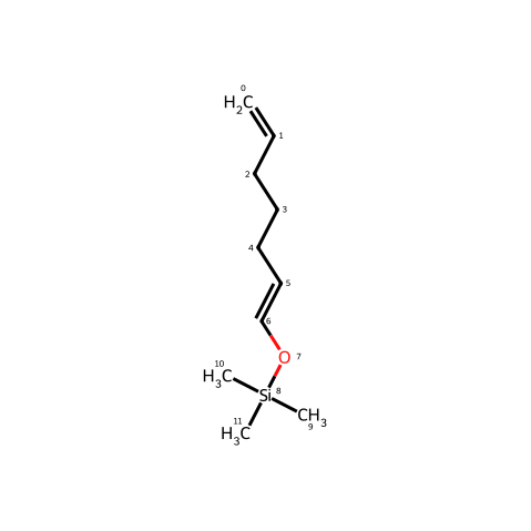 C=CCCCC=CO[Si](C)(C)C